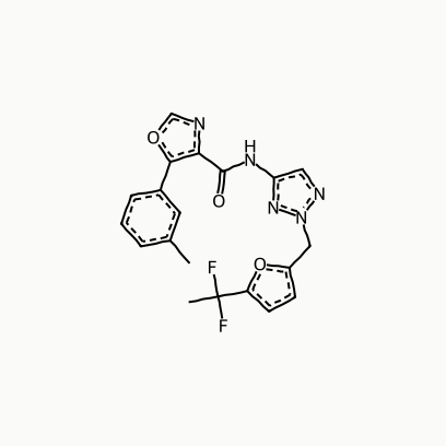 Cc1cccc(-c2ocnc2C(=O)Nc2cnn(Cc3ccc(C(C)(F)F)o3)n2)c1